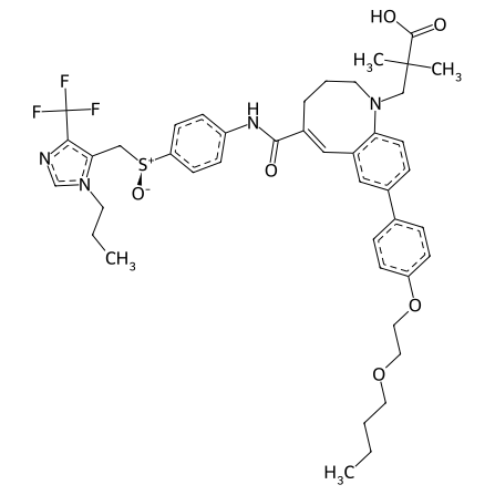 CCCCOCCOc1ccc(-c2ccc3c(c2)/C=C(/C(=O)Nc2ccc([S@@+]([O-])Cc4c(C(F)(F)F)ncn4CCC)cc2)CCCN3CC(C)(C)C(=O)O)cc1